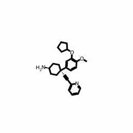 COc1ccc([C@]2(C#Cc3ccccn3)CC[C@H](N)CC2)cc1OC1CCCC1